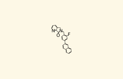 O=C1c2ncccc2CN1Cc1ccc(-c2ccc3ccccc3c2)cc1F